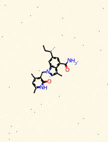 CC[C@H](C)c1cc(C(N)=O)c2c(C)cn(Cc3c(C)cc(C)[nH]c3=O)c2c1